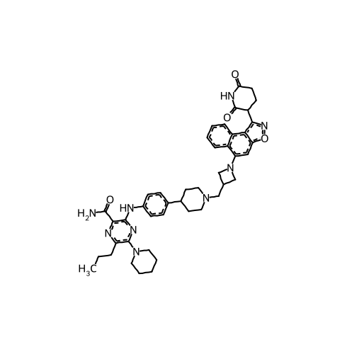 CCCc1nc(C(N)=O)c(Nc2ccc(C3CCN(CC4CN(c5cc6onc(C7CCC(=O)NC7=O)c6c6ccccc56)C4)CC3)cc2)nc1N1CCCCC1